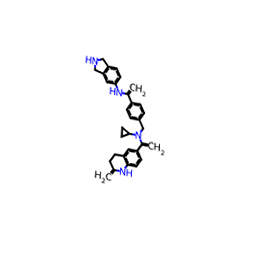 C=C1CCc2cc(C(=C)N(Cc3ccc(C(=C)Nc4ccc5c(c4)CNC5)cc3)C3CC3)ccc2N1